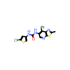 Cc1nc2c(C(C)C)c(NC(=O)Nc3csc(Cl)c3)cnc2s1